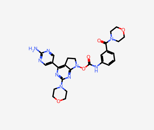 Nc1ncc(-c2nc(N3CCOCC3)nc3c2CCN3OC(=O)Nc2cccc(C(=O)N3CCOCC3)c2)cn1